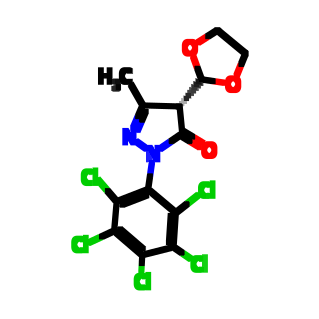 CC1=NN(c2c(Cl)c(Cl)c(Cl)c(Cl)c2Cl)C(=O)[C@H]1C1OCCO1